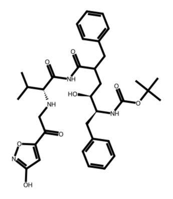 CC(C)[C@@H](NCC(=O)c1cc(O)no1)C(=O)NC(=O)C(Cc1ccccc1)C[C@H](O)[C@H](Cc1ccccc1)NC(=O)OC(C)(C)C